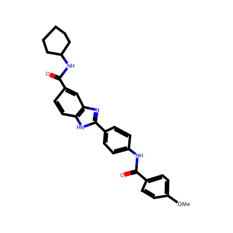 COc1ccc(C(=O)Nc2ccc(-c3nc4cc(C(=O)NC5CCCCC5)ccc4[nH]3)cc2)cc1